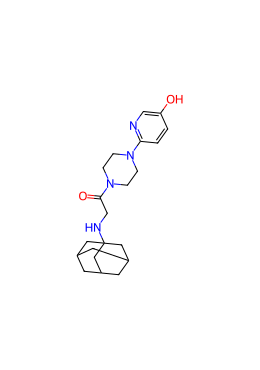 O=C(CNC12CC3CC(CC(C3)C1)C2)N1CCN(c2ccc(O)cn2)CC1